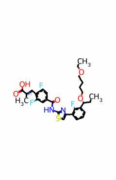 CCOCCCCOC(CC)c1cccc(-c2csc(NC(=O)c3cc(F)c(/C=C(\C)C(=O)O)c(F)c3)n2)c1F